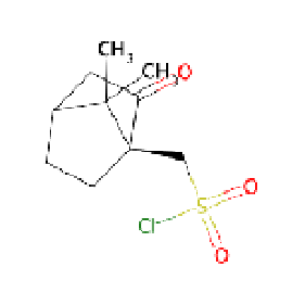 CC1(C)C2CC[C@@]1(CS(=O)(=O)Cl)C(=O)C2